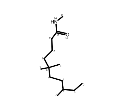 CCC(C)CCC(C)(C)CCCC(=O)NC